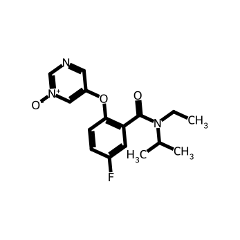 CCN(C(=O)c1cc(F)ccc1Oc1cnc[n+]([O-])c1)C(C)C